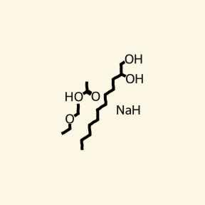 CC(=O)O.CCCCCCCCCCC(O)CO.CCOCC.[NaH]